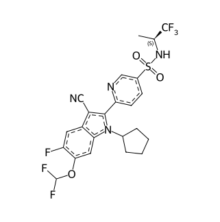 C[C@H](NS(=O)(=O)c1ccc(-c2c(C#N)c3cc(F)c(OC(F)F)cc3n2C2CCCC2)nc1)C(F)(F)F